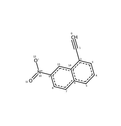 C#Cc1cccc2ccc([N+](=O)[O-])cc12